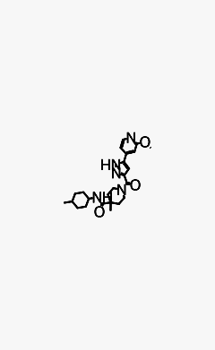 COc1cc(-c2cc(C(=O)N3CCC(C)(C(=O)NC4CCC(C)CC4)CC3)n[nH]2)ccn1